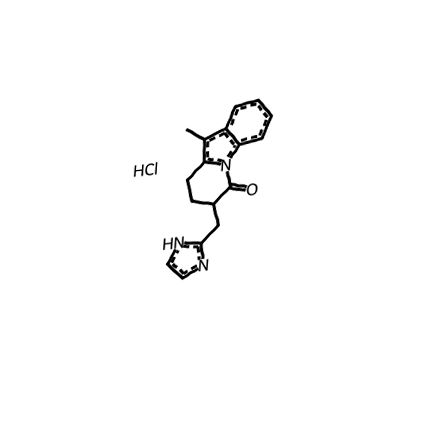 Cc1c2n(c3ccccc13)C(=O)C(Cc1ncc[nH]1)CC2.Cl